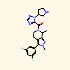 CC1c2nn(C)c(-c3cc(F)cc(F)c3)c2CCN1C(=O)c1ncnn1C1CCNC1